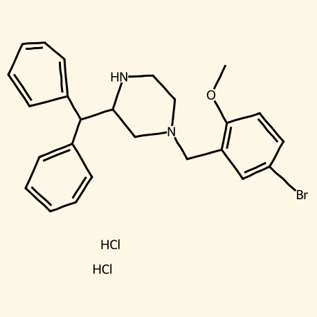 COc1ccc(Br)cc1CN1CCNC(C(c2ccccc2)c2ccccc2)C1.Cl.Cl